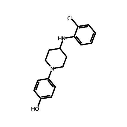 Oc1ccc(N2CCC(Nc3ccccc3Cl)CC2)cc1